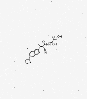 C/C(=C(/C#N)C(=O)NCC(O)C(O)CO)c1ccc2cc(N3CCCC3)ccc2c1